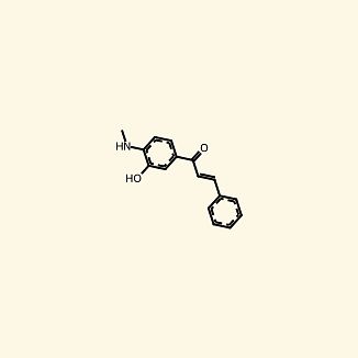 CNc1ccc(C(=O)/C=C/c2ccccc2)cc1O